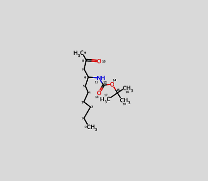 CCCCCCC(CC(C)=O)NC(=O)OC(C)(C)C